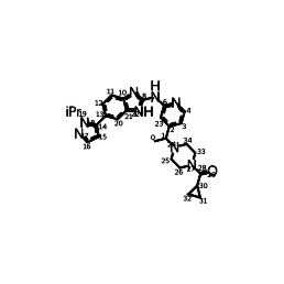 CC(c1ccnc(Nc2nc3ccc(-c4ccnn4C(C)C)cc3[nH]2)c1)N1CCN(C(=O)C2CC2)CC1